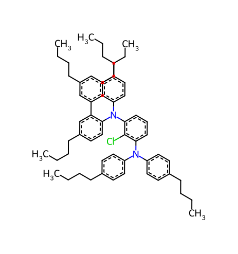 CCCCc1ccc(N(c2ccc(CCCC)cc2)c2cccc(N(c3ccc(CCCC)cc3)c3ccc(CCCC)cc3-c3cc(CCCC)cc(CCCC)c3)c2Cl)cc1